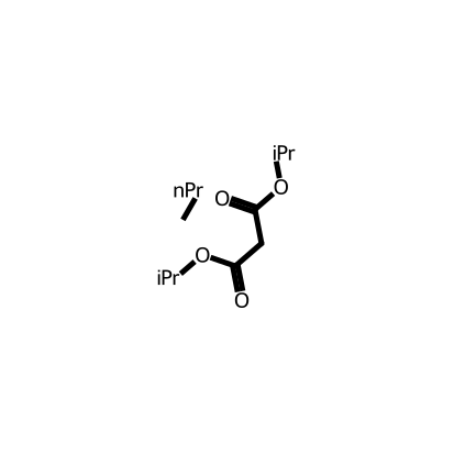 CC(C)OC(=O)CC(=O)OC(C)C.CCCC